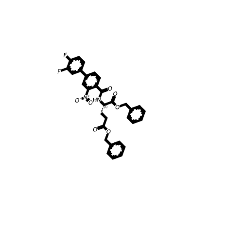 O=C(CC[C@H](NC(=O)c1ccc(-c2ccc(F)c(F)c2)cc1[N+](=O)[O-])C(=O)OCc1ccccc1)OCc1ccccc1